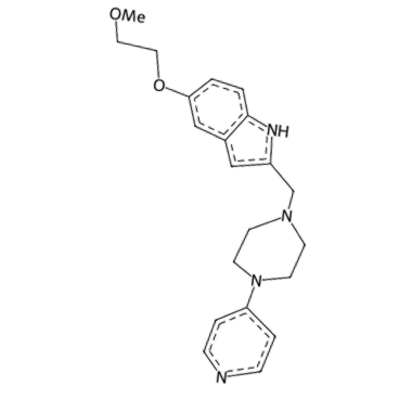 COCCOc1ccc2[nH]c(CN3CCN(c4ccncc4)CC3)cc2c1